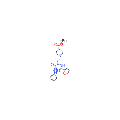 CC(C)(C)OC(=O)N1CCN(CC[C@H](NC(=O)c2ccco2)C(=O)NCc2ccccc2)CC1